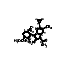 COc1ccc(C)c(-c2c(N)c(C(N)=O)c3cc(C)c(C4CC4)nn23)c1C